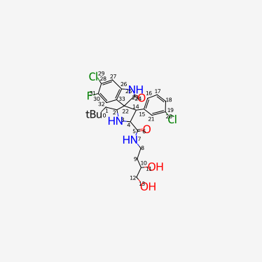 CC(C)(C)CC1NC(C(=O)NCCC(O)CO)C(c2cccc(Cl)c2)C12C(=O)Nc1cc(Cl)c(F)cc12